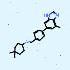 Cc1cc(-c2ccc(CNC3CCC(C)(C)CC3)cc2)cc2[nH]cnc12